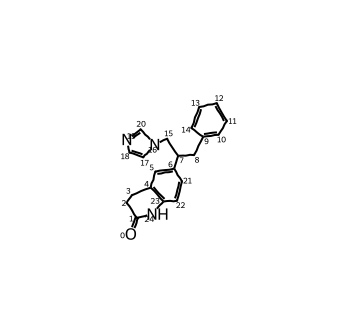 O=C1CCc2cc(C(Cc3ccccc3)Cn3ccnc3)ccc2N1